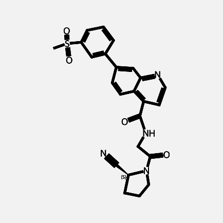 CS(=O)(=O)c1cccc(-c2ccc3c(C(=O)NCC(=O)N4CCC[C@H]4C#N)ccnc3c2)c1